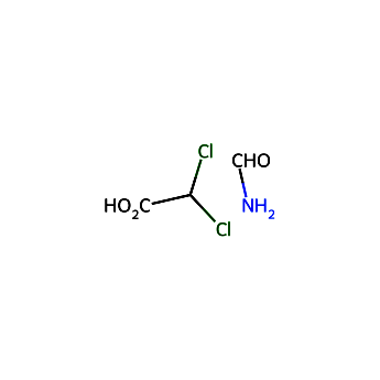 NC=O.O=C(O)C(Cl)Cl